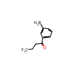 Bc1cccc(C(=O)CCC(F)(F)F)c1